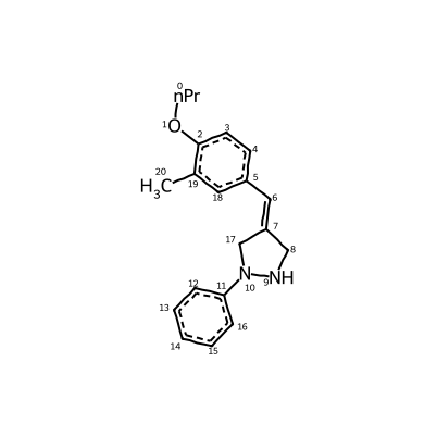 CCCOc1ccc(C=C2CNN(c3ccccc3)C2)cc1C